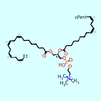 CC/C=C\C/C=C\C/C=C\C/C=C\CCCCCCC(=O)OC[C@H](COP(=O)(O)OCC[N+](C)(C)C)OC(=O)CCCCCCC/C=C\C/C=C\CCCCC